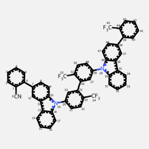 N#Cc1ccccc1-c1ccc2c(c1)c1ccccc1n2-c1ccc(C(F)(F)F)c(-c2cc(-n3c4ccccc4c4cc(-c5ccccc5C(F)(F)F)ccc43)ccc2C(F)(F)F)c1